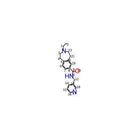 CCN1CCc2ccc(C(=O)NCc3cccnc3)cc2CC1